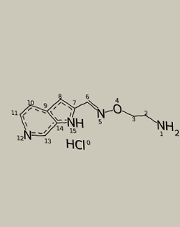 Cl.NCCON=Cc1cc2ccncc2[nH]1